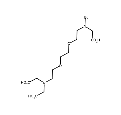 CCN(CCOCCOCCN(CC(=O)O)CC(=O)O)CC(=O)O